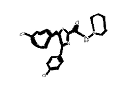 O=C(NN1CCCCC1)c1nc(-c2ccc(Cl)cc2)c(-c2ccc(Cl)cc2)s1